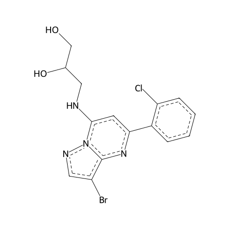 OCC(O)CNc1cc(-c2ccccc2Cl)nc2c(Br)cnn12